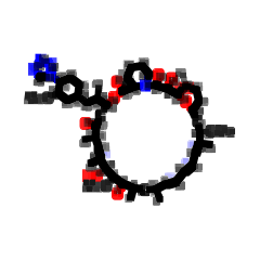 COC1C(=O)C(C)C[C@H](C)/C=C/C=C/C=C(\C)[C@@H](OC)CC2CC[C@@H](C)[C@@](O)(O2)C(=O)C(=O)N2CCCC[C@H]2C(=O)O[C@H]([C@H](C)C[C@@H]2CC[C@H](n3cnnn3)[C@H](OC)C2)CC(=O)[C@H](C)/C=C(\C)[C@H]1O